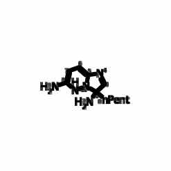 CCCCCC1(N)C=NC2=CC=C(N)NN21